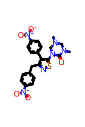 CN1CN(C)C(=O)N(c2snc(Cc3ccc([N+](=O)[O-])cc3)c2-c2ccc([N+](=O)[O-])cc2)C1